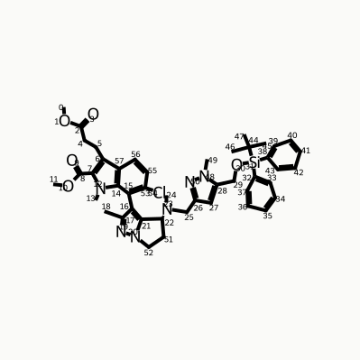 COC(=O)CCc1c(C(=O)OC)n(C)c2c(-c3c(C)nn4c3[C@H](N(C)Cc3cc(CO[Si](c5ccccc5)(c5ccccc5)C(C)(C)C)n(C)n3)CC4)c(Cl)ccc12